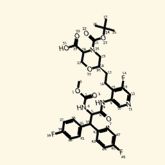 COC(=O)NC(C(=O)Nc1cncc(F)c1CC[C@@H]1CN(C(=O)OC(C)(C)C)C(C(=O)O)CO1)C(c1ccc(F)cc1)c1ccc(F)cc1